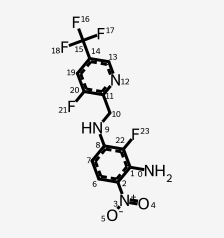 Nc1c([N+](=O)[O-])ccc(NCc2ncc(C(F)(F)F)cc2F)c1F